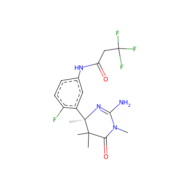 CN1C(=O)C(C)(C)[C@@](C)(c2cc(NC(=O)CC(F)(F)F)ccc2F)N=C1N